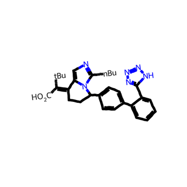 CCCCc1ncc2n1C(c1ccc(-c3ccccc3-c3nnn[nH]3)cc1)CCC2=C(C(=O)O)C(C)(C)C